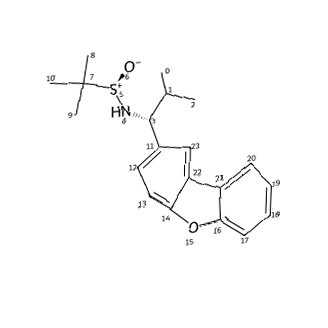 CC(C)[C@@H](N[S@+]([O-])C(C)(C)C)c1ccc2oc3ccccc3c2c1